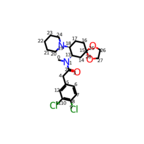 CN(C(=O)Cc1ccc(Cl)c(Cl)c1)[C@H]1CC2(CC[C@@H]1N1CCCCC1)OCCO2